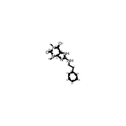 Cn1c(=O)c2[nH]c(NCCc3ccccc3)nc2n(C)c1=O